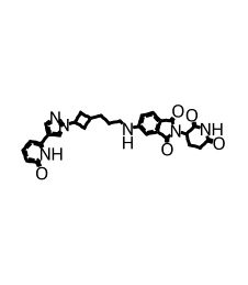 O=C1CCC(N2C(=O)c3ccc(NCCCC4CC(n5cc(-c6cccc(=O)[nH]6)cn5)C4)cc3C2=O)C(=O)N1